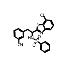 N#Cc1cccc(CC(NS(=O)(=O)c2ccccc2)c2nc3cccc(Cl)c3s2)c1